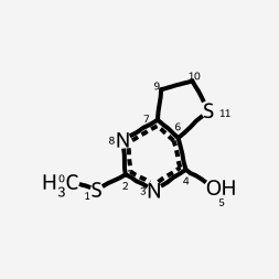 CSc1nc(O)c2c(n1)CCS2